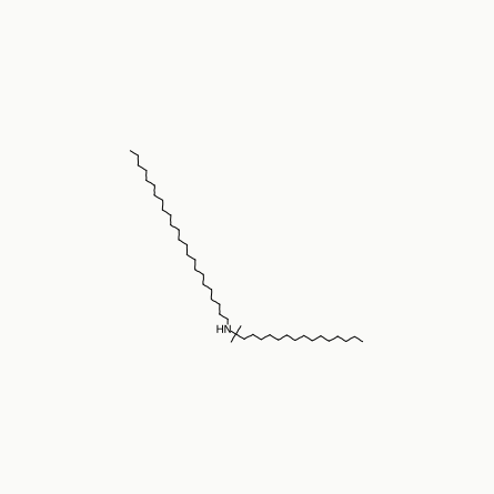 CCCCCCCCCCCCCCCCCCCCCCCCNC(C)(C)CCCCCCCCCCCCCCC